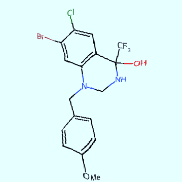 COc1ccc(CN2CNC(O)(C(F)(F)F)c3cc(Cl)c(Br)cc32)cc1